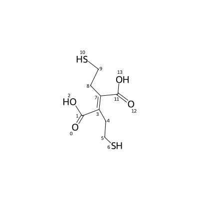 O=C(O)C(CCS)=C(CCS)C(=O)O